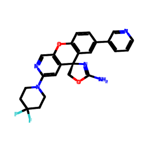 NC1=N[C@@]2(CO1)c1cc(-c3cccnc3)ccc1Oc1cnc(N3CCC(F)(F)CC3)cc12